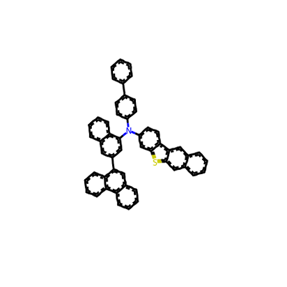 c1ccc(-c2ccc(N(c3ccc4c(c3)sc3cc5ccccc5cc34)c3cc(-c4cc5ccccc5c5ccccc45)cc4ccccc34)cc2)cc1